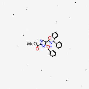 COC(=O)c1ncc(C(=O)NC(c2ccccc2)c2ccccc2)c(OCc2ccccc2)n1